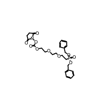 O=C(OCCOCCOCCP(=O)(OCc1ccccc1)OCc1ccccc1)ON1C(=O)CCC1=O